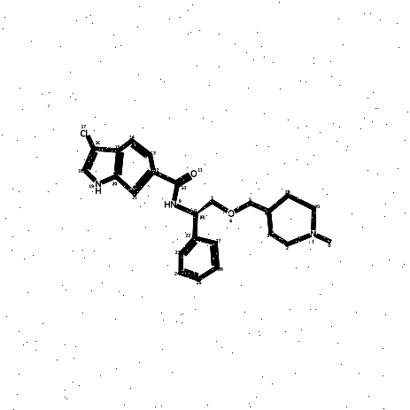 CN1CCC(COC[C@H](NC(=O)c2ccc3c(Cl)c[nH]c3c2)c2ccccc2)CC1